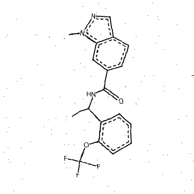 CC(NC(=O)c1ccc2cnn(C)c2c1)c1ccccc1OC(F)(F)F